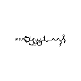 COc1ccc2c(c1)CC[C@@H]1[C@@H]2CC[C@]2(C)C(NCCCCCCN3C(=O)C=CC3=O)CC[C@@H]12